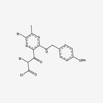 CCC(=O)C(Br)C(=O)c1nc(Br)c(C)nc1NCc1ccc(OC)cc1